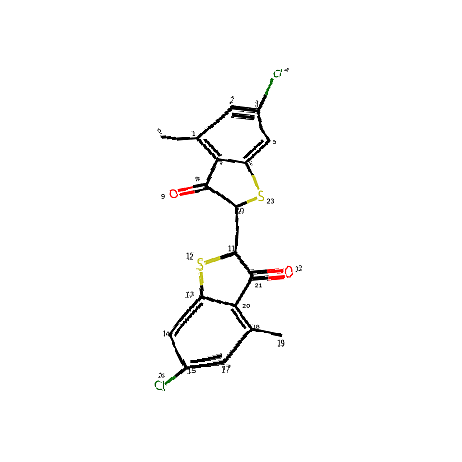 Cc1cc(Cl)cc2c1C(=O)C(C1Sc3cc(Cl)cc(C)c3C1=O)S2